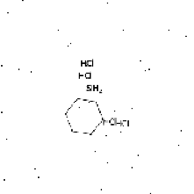 C1CCCCC1.Cl.Cl.Cl.Cl.[SiH4]